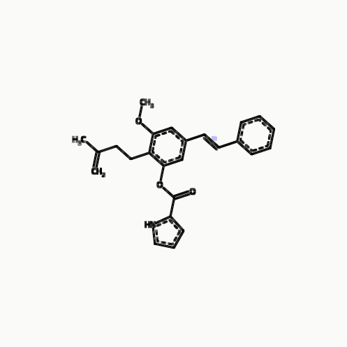 C=C(C)CCc1c(OC)cc(/C=C/c2ccccc2)cc1OC(=O)c1ccc[nH]1